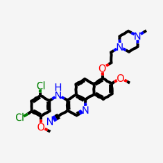 COc1cc(Nc2c(C#N)cnc3c2ccc2c(OCCN4CCN(C)CC4)c(OC)ccc23)c(Cl)cc1Cl